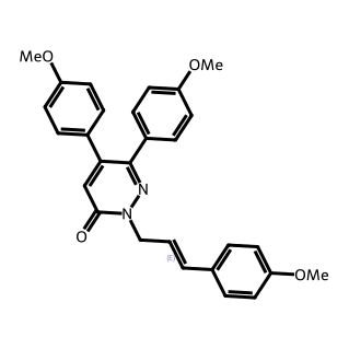 COc1ccc(/C=C/Cn2nc(-c3ccc(OC)cc3)c(-c3ccc(OC)cc3)cc2=O)cc1